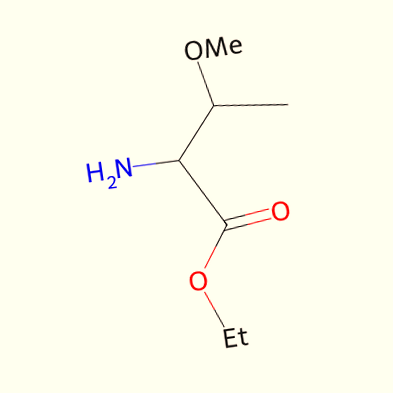 CCOC(=O)C(N)C(C)OC